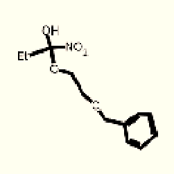 CCC(O)(OCCCCc1ccccc1)[N+](=O)[O-]